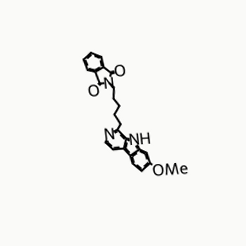 COc1ccc2c(c1)[nH]c1c(CCCCCN3C(=O)c4ccccc4C3=O)nccc12